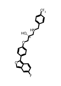 O[C@H](CNCc1ccc(C(F)(F)F)cc1)COc1ccc(-c2occ3cc(F)ccc23)cc1